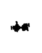 CCCCOc1cc(CCCOc2cc(C)cc(C)c2C(=O)O)cc(F)c1C(=O)O